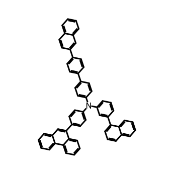 c1cc(-c2cccc3ccccc23)cc(N(c2ccc(-c3ccc(-c4ccc5ccccc5c4)cc3)cc2)c2ccc(-c3cc4ccccc4c4ccccc34)cc2)c1